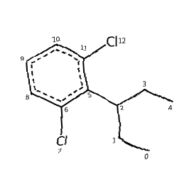 CCC(CC)c1c(Cl)cccc1Cl